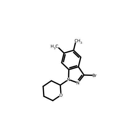 Cc1cc2c(Br)nn(C3CCCCO3)c2cc1C